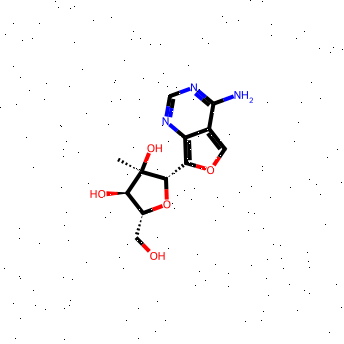 C[C@@]1(O)[C@H](O)[C@@H](CO)O[C@H]1c1occ2c(N)ncnc12